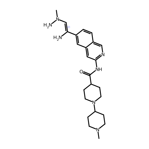 CN(N)/C=C(\N)c1ccc2cnc(NC(=O)C3CCN(C4CCN(C)CC4)CC3)cc2c1